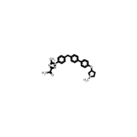 Cc1nc(C(N)=O)nn1-c1ccc(Cc2ccc(-c3ccc(OC4CCN(C)C4)cc3)cc2)cc1